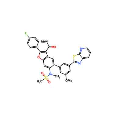 CNC(=O)c1c(-c2ccc(F)cc2)oc2cc(N(C)S(C)(=O)=O)c(-c3cc(OC)cc(-c4nc5cccnc5s4)c3)cc12